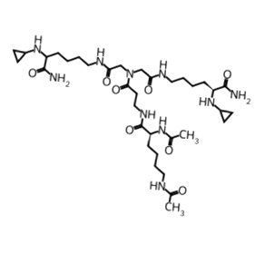 CC(=O)NCCCC[C@H](NC(C)=O)C(=O)NCCC(=O)N(CC(=O)NCCCCC(NC1CC1)C(N)=O)CC(=O)NCCCC[C@H](NC1CC1)C(N)=O